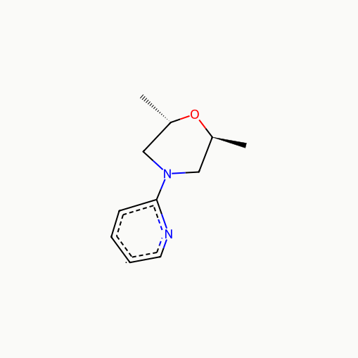 C[C@H]1CN(c2cc[c]cn2)C[C@H](C)O1